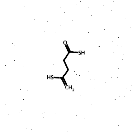 C=C(S)CCC(=O)S